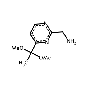 COC(C)(OC)c1ccnc(CN)n1